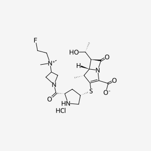 C[C@@H](O)[C@H]1C(=O)N2C(C(=O)[O-])=C(S[C@@H]3CN[C@H](C(=O)N4CC([N+](C)(C)CCF)C4)C3)[C@H](C)[C@H]12.Cl